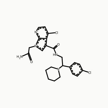 NC(=O)Cn1cc(C(=O)NCC(c2ccc(Cl)cc2)N2CCCCC2)c2c(Cl)ccnc21